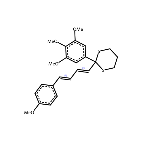 COc1ccc(/C=C/C=C/C2(c3cc(OC)c(OC)c(OC)c3)SCCCS2)cc1